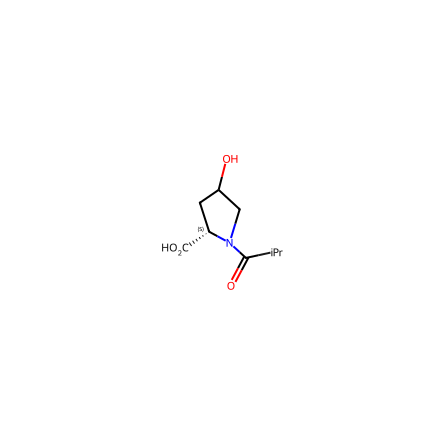 CC(C)C(=O)N1CC(O)C[C@H]1C(=O)O